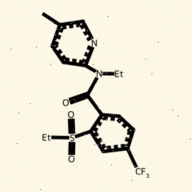 CCN(C(=O)c1ccc(C(F)(F)F)cc1S(=O)(=O)CC)c1ccc(C)cn1